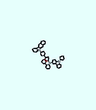 c1ccc(-c2ccccc2N(c2ccc(-c3ccc(-n4c5ccccc5c5cc6ccccc6cc54)cc3)cc2)c2ccc3c(c2)c2ccccc2n3-c2ccccc2)cc1